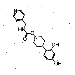 O=C(NCc1ccncc1)ON1CCC(c2ccc(O)cc2O)CC1